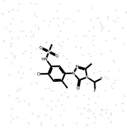 Cc1cc(Cl)c(NS(C)(=O)=O)cc1-n1nc(C)n(C(F)F)c1=O